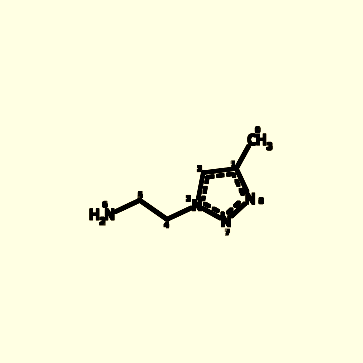 Cc1cn(CCN)nn1